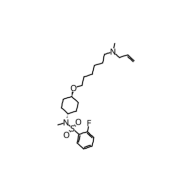 C=CCN(C)CCCCCCO[C@H]1CC[C@H](N(C)S(=O)(=O)c2ccccc2F)CC1